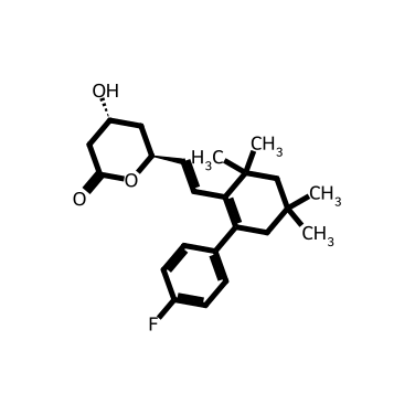 CC1(C)CC(c2ccc(F)cc2)=C(/C=C/[C@@H]2C[C@@H](O)CC(=O)O2)C(C)(C)C1